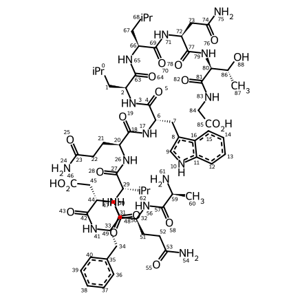 CC(C)C[C@H](NC(=O)[C@H](Cc1c[nH]c2ccccc12)NC(=O)[C@H](CCC(N)=O)NC(=O)[C@@H](NC(=O)[C@H](Cc1ccccc1)NC(=O)[C@H](CC(=O)O)NC(=O)[C@H](CCC(N)=O)NC(=O)[C@H](C)N)C(C)C)C(=O)N[C@@H](CC(C)C)C(=O)N[C@@H](CC(N)=O)C(=O)N[C@H](C(=O)NCC(=O)O)[C@@H](C)O